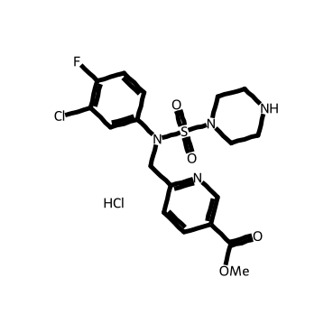 COC(=O)c1ccc(CN(c2ccc(F)c(Cl)c2)S(=O)(=O)N2CCNCC2)nc1.Cl